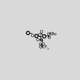 CC(C)(C)OC(=O)c1ccc2c(c1)C(=O)OC21c2ccc(OCc3ccccc3)cc2Oc2cc(OS(=O)(=O)C(F)(F)F)ccc21